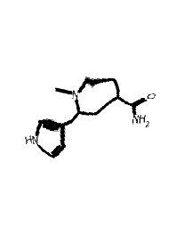 CN1CCC(C(N)=O)CC1c1cc[nH]c1